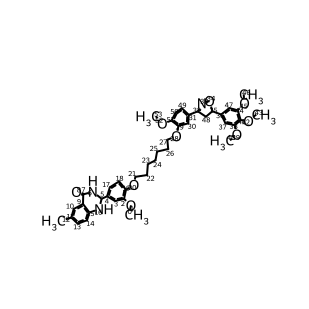 COc1cc(C2NC(=O)c3cc(C)ccc3N2)ccc1OCCCCCCCOc1cc(C2=NOC(c3cc(OC)c(OC)c(OC)c3)C2)ccc1OC